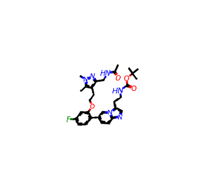 CC(=O)NCc1nn(C)c(C)c1CCOc1cc(F)ccc1-c1ccc2ncc(CCNC(=O)OC(C)(C)C)n2c1